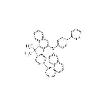 CC1(C)c2ccc(-c3ccccc3)cc2-c2c(N(c3ccc(-c4ccccc4)cc3)c3ccc4ccccc4c3)cc3ccccc3c21